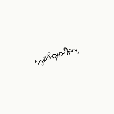 CCOC(=O)n1ccnc1CC1CCN(c2ccc(N3CC(CNC(C)=O)OC3=O)cc2F)CC1